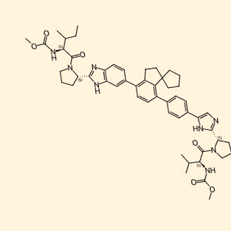 CCC(C)[C@H](NC(=O)OC)C(=O)N1CCC[C@H]1c1nc2ccc(-c3ccc(-c4ccc(-c5cnc([C@@H]6CCCN6C(=O)[C@@H](NC(=O)OC)C(C)C)[nH]5)cc4)c4c3CCC43CCCC3)cc2[nH]1